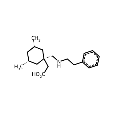 C[C@@H]1C[C@H](C)C[C@@](CNCCc2ccccc2)(CC(=O)O)C1